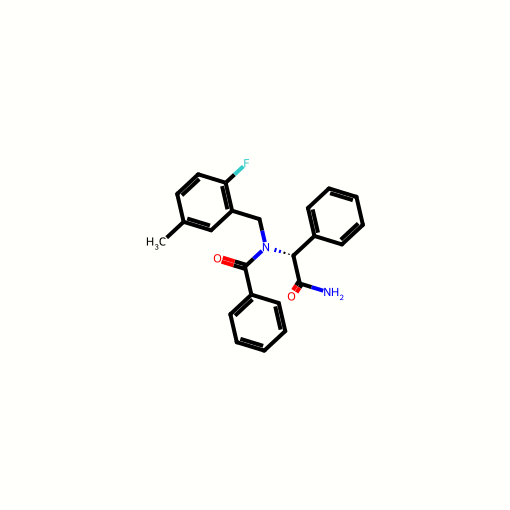 Cc1ccc(F)c(CN(C(=O)c2ccccc2)[C@@H](C(N)=O)c2ccccc2)c1